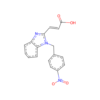 O=C(O)/C=C/c1nc2ccccc2n1Cc1ccc([N+](=O)[O-])cc1